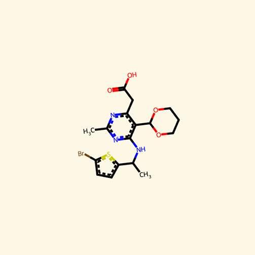 Cc1nc(CC(=O)O)c(C2OCCCO2)c(NC(C)c2ccc(Br)s2)n1